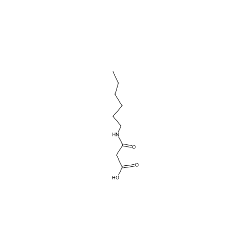 CCCCCCNC(=O)CC(=O)O